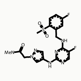 CNC(=O)Cn1cc(Nc2ncc(F)c(NCc3cc(F)ccc3S(C)(=O)=O)n2)cn1